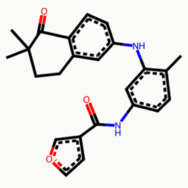 Cc1ccc(NC(=O)c2ccoc2)cc1Nc1ccc2c(c1)CCC(C)(C)C2=O